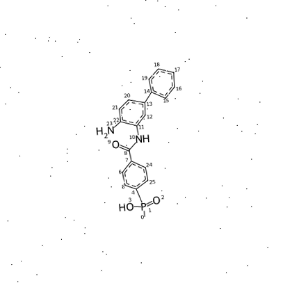 CP(=O)(O)c1ccc(C(=O)Nc2cc(-c3ccccc3)ccc2N)cc1